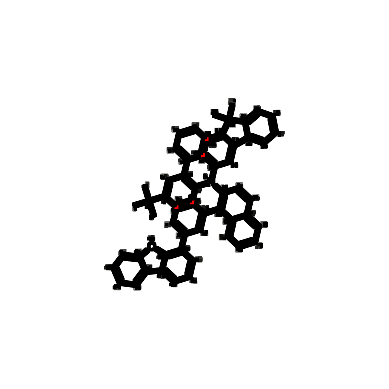 CC(C)(C)c1ccc(N(c2ccc3c(c2)-c2ccccc2C3(C)C)c2ccc3ccccc3c2-c2cccc(-c3cccc4c3oc3ccccc34)c2)c(-c2ccccc2)c1